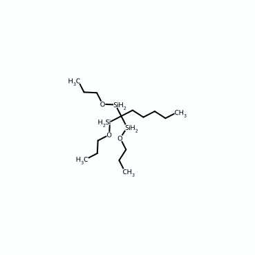 CCCCCC([SiH2]OCCC)([SiH2]OCCC)[SiH2]OCCC